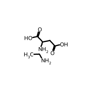 CCN.NC(CC(=O)O)C(=O)O